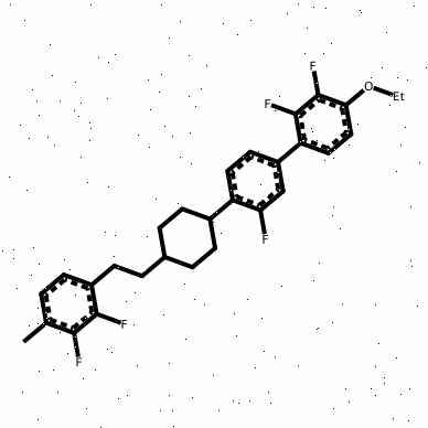 CCOc1ccc(-c2ccc(C3CCC(CCc4ccc(C)c(F)c4F)CC3)c(F)c2)c(F)c1F